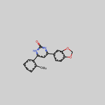 CC(C)COc1ccccc1-c1cc(-c2ccc3c(c2)OCO3)nc(=O)[nH]1